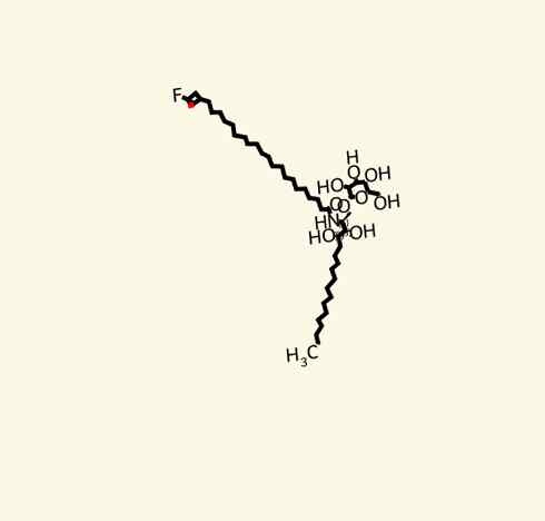 CCCCCCCCCCCCCC[C@@H](O)[C@@H](O)[C@H](COC1OC(CO)C(O)C(O)C1O)NC(=O)CCCCCCCCCCCCCCCCCCCCC12CC(F)(C1)C2